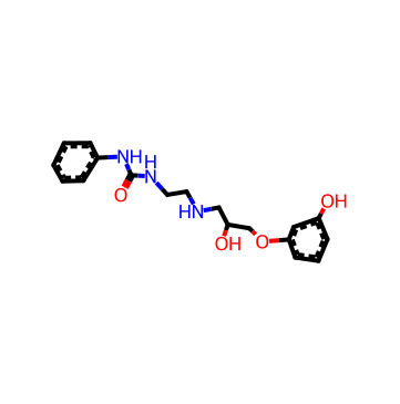 O=C(NCCNCC(O)COc1cccc(O)c1)Nc1ccccc1